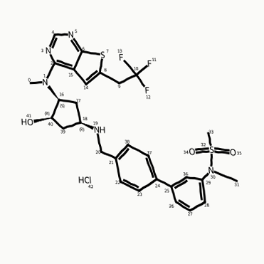 CN(c1ncnc2sc(CC(F)(F)F)cc12)[C@H]1C[C@@H](NCc2ccc(-c3cccc(N(C)S(C)(=O)=O)c3)cc2)C[C@H]1O.Cl